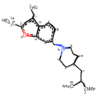 COC(CC1CCN(c2ccc3c(C=O)c(C(=O)O)oc3c2)CC1)OC